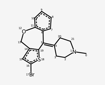 CN1CCC(=C2c3ccccc3OCc3cc(Br)sc32)CC1